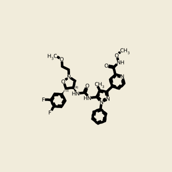 COCCN1C[C@@H](NC(=O)Nc2c(C)c(-c3ccnc(C(=O)NOC)c3)nn2-c2ccccc2)[C@H](c2ccc(F)c(F)c2)O1